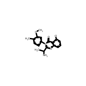 COc1cc(-n2c(C(C)N)nc3cccc(Cl)c3c2=O)ccc1C